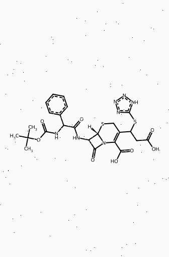 CC(C)(C)OC(=O)NC(C(=O)NC1C(=O)N2C(C(=O)O)=C(C(CC(=O)O)Sc3nnn[nH]3)CS[C@@H]12)c1ccccc1